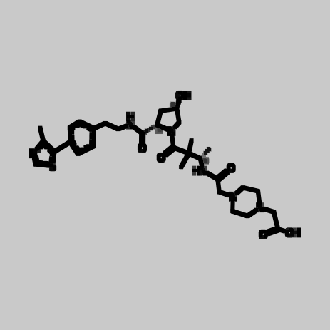 Cc1ncsc1-c1ccc(CCNC(=O)[C@@H]2C[C@@H](O)CN2C(=O)C(C)(C)[C@H](C)NC(=O)CN2CCN(CC(=O)O)CC2)cc1